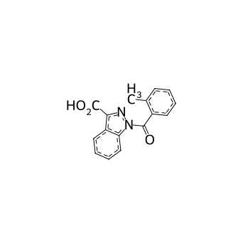 Cc1ccccc1C(=O)n1nc(C(=O)O)c2ccccc21